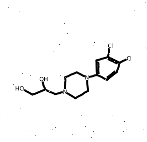 OCC(O)CN1CCN(c2ccc(Cl)c(Cl)c2)CC1